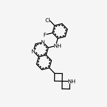 Fc1c(Cl)cccc1Nc1ncnc2ccc(C3CC4(CCN4)C3)cc12